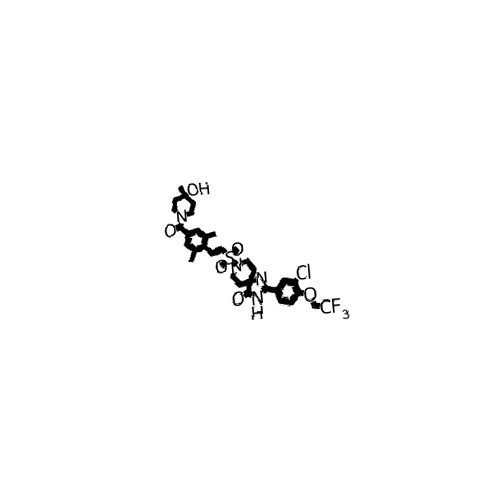 Cc1cc(C(=O)N2CCC(C)(O)CC2)cc(C)c1C=CS(=O)(=O)N1CCC2(CC1)N=C(c1ccc(OCC(F)(F)F)c(Cl)c1)NC2=O